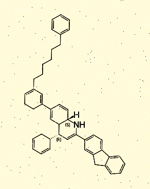 C1=CCC([C@H]2C=C(c3ccc4c(c3)Cc3ccccc3-4)N[C@H]3C=CC(C4=CC(CCCCCCc5ccccc5)=CCC4)=CC23)C=C1